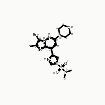 Cc1nc2c(-c3cn(S(=O)(=O)N(C)C)cn3)cc(N3CCOCC3)nn2c1Br